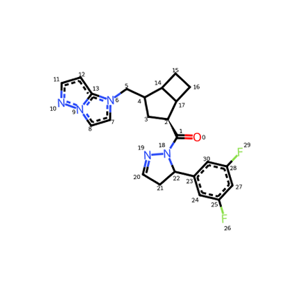 O=C([C@H]1CC(Cn2ccn3nccc23)C2CCC21)N1N=CCC1c1cc(F)cc(F)c1